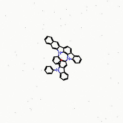 c1ccc(-n2c3ccccc3c3cc(-n4c5ccccc5c5ccc6c7cc8ccccc8cc7n(-c7ccccc7)c6c54)ccc32)cc1